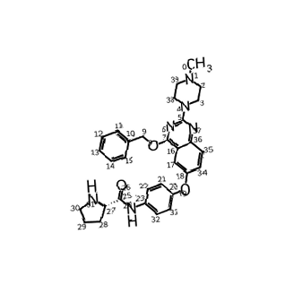 CN1CCN(c2nc(OCc3ccccc3)c3cc(Oc4ccc(NC(=O)[C@@H]5CCCN5)cc4)ccc3n2)CC1